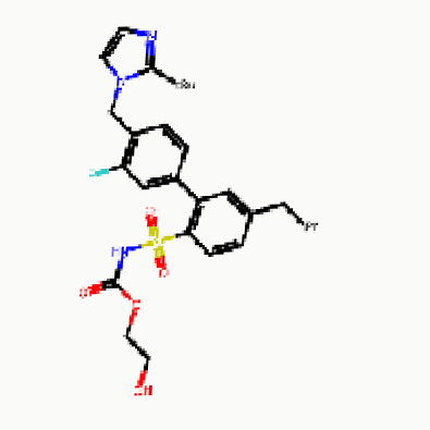 CC(C)Cc1ccc(S(=O)(=O)NC(=O)OCCO)c(-c2ccc(Cn3ccnc3C(C)(C)C)c(F)c2)c1